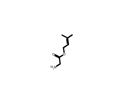 CC(C)=CCOC(=O)CN